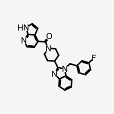 O=C(c1ccnc2[nH]ccc12)N1CCC(c2nc3ccccc3n2Cc2cccc(F)c2)CC1